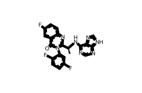 C[C@H](Nc1ncnc2[nH]cnc12)c1nc2ccc(F)cc2c(=O)n1-c1cc(F)ccc1F